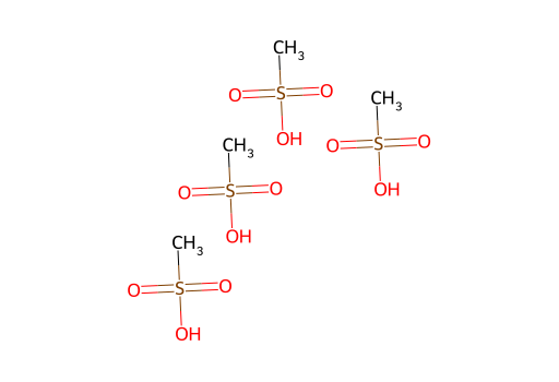 CS(=O)(=O)O.CS(=O)(=O)O.CS(=O)(=O)O.CS(=O)(=O)O